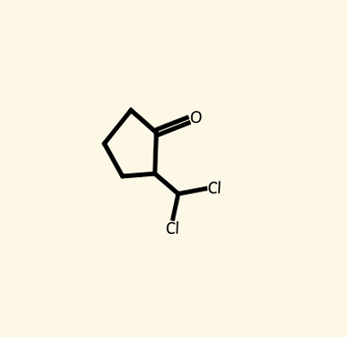 O=C1CCCC1C(Cl)Cl